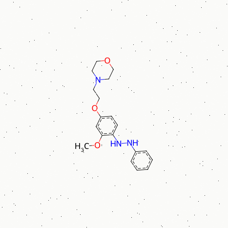 COc1cc(OCCN2CCOCC2)ccc1NNc1ccccc1